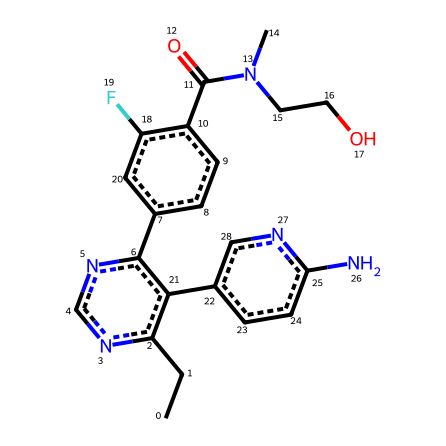 CCc1ncnc(-c2ccc(C(=O)N(C)CCO)c(F)c2)c1-c1ccc(N)nc1